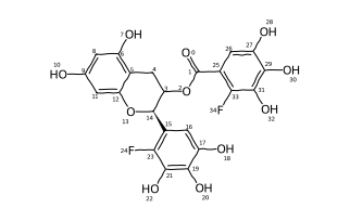 O=C(OC1Cc2c(O)cc(O)cc2O[C@@H]1c1cc(O)c(O)c(O)c1F)c1cc(O)c(O)c(O)c1F